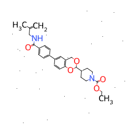 C=C(C)CNC(=O)c1ccc(-c2ccc3c(c2)COC(C2CCN(C(=O)OCC)CC2)O3)cc1